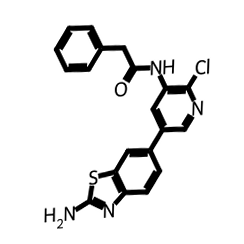 Nc1nc2ccc(-c3cnc(Cl)c(NC(=O)Cc4ccccc4)c3)cc2s1